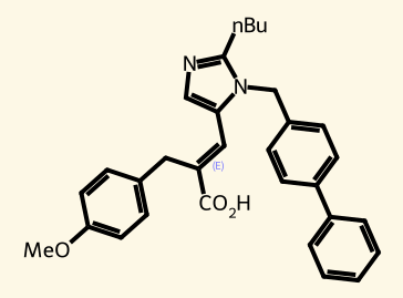 CCCCc1ncc(/C=C(\Cc2ccc(OC)cc2)C(=O)O)n1Cc1ccc(-c2ccccc2)cc1